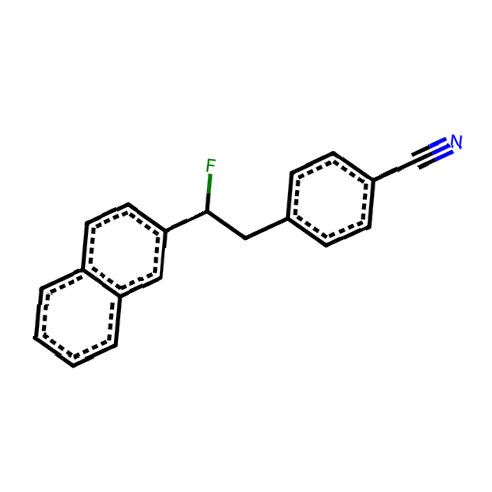 N#Cc1ccc(CC(F)c2ccc3ccccc3c2)cc1